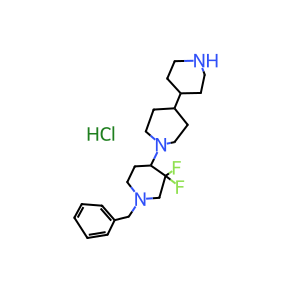 Cl.FC1(F)CN(Cc2ccccc2)CCC1N1CCC(C2CCNCC2)CC1